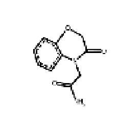 NC(=O)CN1C(=O)COc2ccccc21